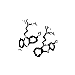 CN(C)CCCN1c2ccccc2Sc2ccc(Cl)cc21.CN(C)CCCN1c2ccccc2Sc2ccc(Cl)cc21.Cl